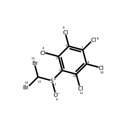 [O-][S+](c1c(Cl)c(Cl)c(Cl)c(Cl)c1Cl)C(Br)Br